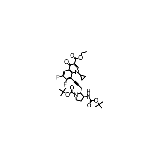 CCOC(=O)c1cn(C2CC2)c2c(C#CC[C@@H]3[C@@H](NC(=O)OC(C)(C)C)CCN3C(=O)OC(C)(C)C)c(F)c(F)cc2c1=O